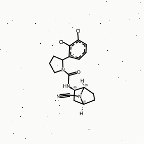 N#CN1[C@H]2CC[C@@H]1[C@H](NC(=O)N1CCCC1c1cccc(Cl)c1Cl)C2